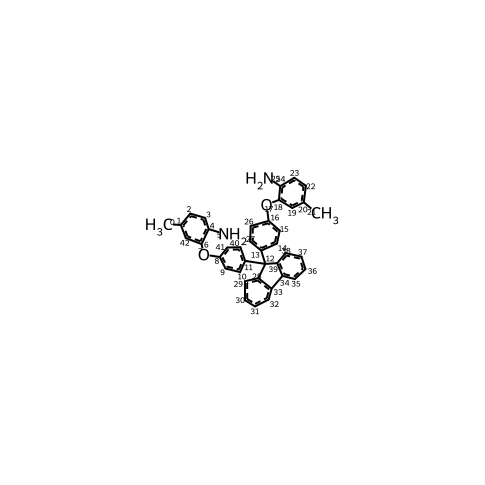 Cc1ccc(N)c(Oc2ccc(C3(c4ccc(Oc5cc(C)ccc5N)cc4)c4ccccc4-c4ccccc43)cc2)c1